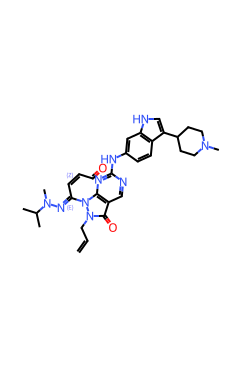 C=CCn1c(=O)c2cnc(Nc3ccc4c(C5CCN(C)CC5)c[nH]c4c3)nc2n1C(/C=C\C=O)=N/N(C)C(C)C